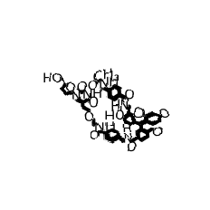 CC(=O)NCc1ccc(C(=O)NCc2c(O)ccc3c(-c4cc(C(=O)NCc5ccc(C(=O)NCCOCCc6cn([C@H]7CC[C@@H](CO)O7)c(=O)[nH]c6=O)cc5)ccc4C=O)c4ccc(=O)cc-4oc23)cc1